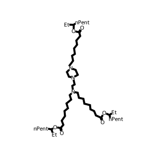 CCCCCC(CC)OC(=O)CCCCCCCCN(CCCCCCCCC(=O)OC(CC)CCCCC)CCN1CCN(CCCCCCCCC(=O)OC(CC)CCCCC)CC1